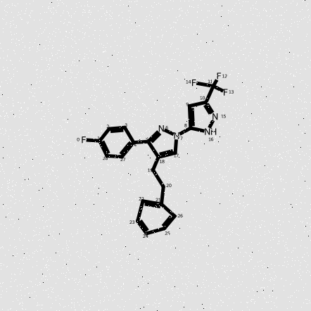 Fc1ccc(-c2nn(-c3cc(C(F)(F)F)n[nH]3)cc2CCc2ccccc2)cc1